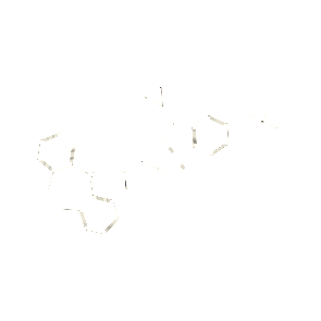 O=[S@](=NCC1CC1)(NC[C@@H](O)CN1c2ccccc2CCc2ccccc21)c1ccc(OC(F)(F)F)cc1